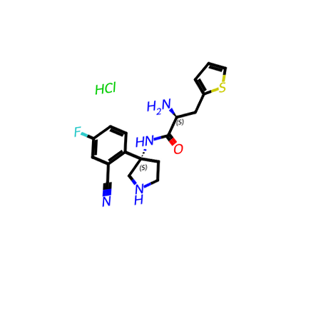 Cl.N#Cc1cc(F)ccc1[C@@]1(NC(=O)[C@@H](N)Cc2cccs2)CCNC1